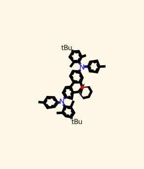 Cc1ccc(N(c2ccc3c(c2)[C@]24CCCC[C@]2(CCCC4)c2cc(N(c4ccc(C)cc4)c4c(C)cc(C(C)(C)C)cc4C)ccc2-3)c2c(C)cc(C(C)(C)C)cc2C)cc1